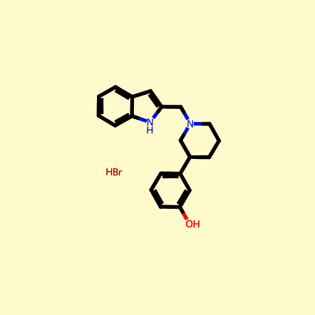 Br.Oc1cccc(C2CCCN(Cc3cc4ccccc4[nH]3)C2)c1